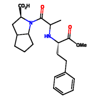 COC(=O)[C@H](CCc1ccccc1)NC(C)C(=O)N1C2CCCC2C[C@H]1C(=O)O